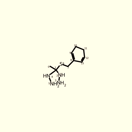 CC(NN)(NN)SCC1=CCCC=C1